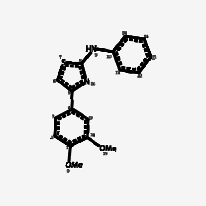 COc1ccc(-c2csc(Nc3ccccc3)n2)cc1OC